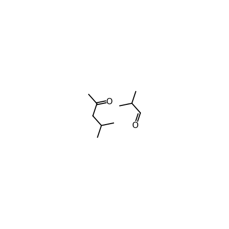 CC(=O)CC(C)C.CC(C)C=O